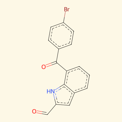 O=Cc1cc2cccc(C(=O)c3ccc(Br)cc3)c2[nH]1